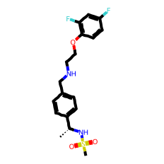 C[C@@H](NS(C)(=O)=O)c1ccc(CNCCOc2ccc(F)cc2F)cc1